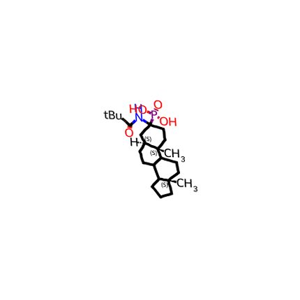 CC(C)(C)C(=O)NC1(P(=O)(O)O)CC[C@]2(C)C3CC[C@]4(C)CCCC4C3CC[C@H]2C1